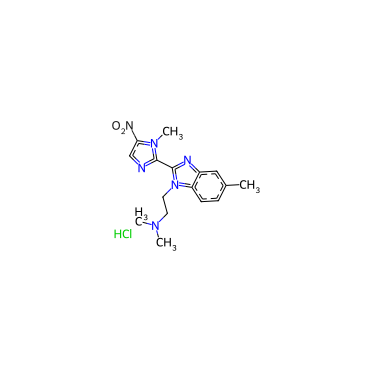 Cc1ccc2c(c1)nc(-c1ncc([N+](=O)[O-])n1C)n2CCN(C)C.Cl